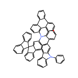 c1ccc(-n2c3ccccc3c3ccc(-c4ccccc4N(c4ccc5c(c4)C4(c6ccccc6-c6ccccc64)c4ccccc4-5)c4cccc5c6ccccc6c6ccccc6c45)cc32)cc1